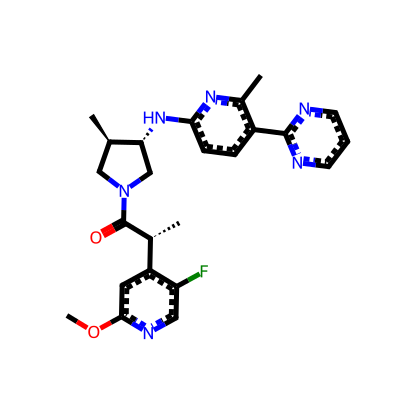 COc1cc([C@@H](C)C(=O)N2C[C@@H](C)[C@H](Nc3ccc(-c4ncccn4)c(C)n3)C2)c(F)cn1